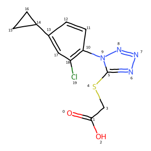 O=C(O)CSc1nnnn1-c1ccc(C2CC2)cc1Cl